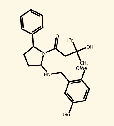 COc1ccc(C(C)(C)C)cc1CNC1CCC(c2ccccc2)N1C(=O)CC(C)(O)C(C)C